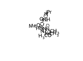 COc1cc(C(=O)NC2CCN(C(C)C)CC2)ccc1Nc1ncc2c(n1)N(C1CCCC1)CC(C)(C)C(=O)N2C